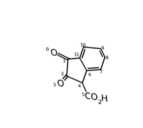 O=C1C(=O)C(C(=O)O)c2ccccc21